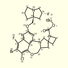 CC(C)(C)OC(=O)N1CCC12CC1COc3c(Cl)c(Br)c(F)c4nc(OC[C@@]56CCCN5C[C@H](F)C6)nc(c34)N1C2